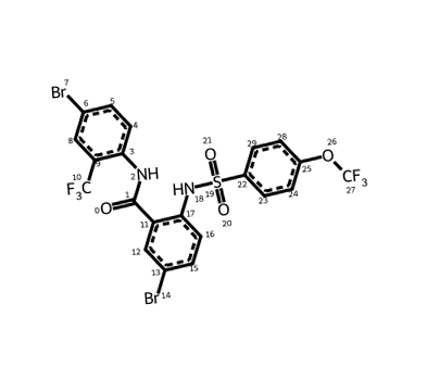 O=C(Nc1ccc(Br)cc1C(F)(F)F)c1cc(Br)ccc1NS(=O)(=O)c1ccc(OC(F)(F)F)cc1